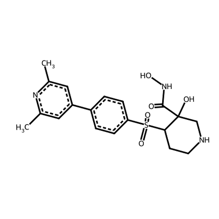 Cc1cc(-c2ccc(S(=O)(=O)C3CCNCC3(O)C(=O)NO)cc2)cc(C)n1